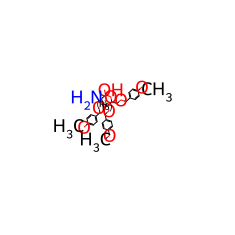 COc1ccc(COCC2OC(O)C(N)[C@@H](OCc3ccc(OC)cc3)[C@@H]2OCc2ccc(OC)cc2)cc1